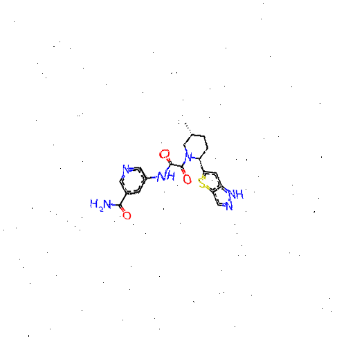 C[C@@H]1CC[C@@H](c2cc3[nH]ncc3s2)N(C(=O)C(=O)Nc2cncc(C(N)=O)c2)C1